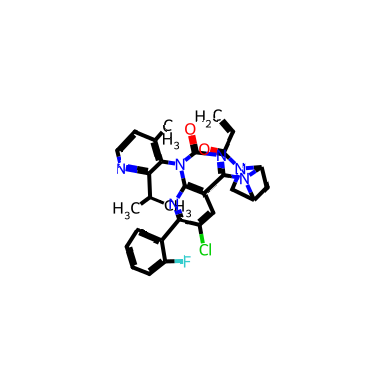 C=CC(=O)N1CC2CC1N2c1nc(=O)n(-c2c(C)ccnc2C(C)C)c2nc(-c3ccccc3F)c(Cl)cc12